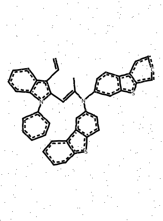 C=Cc1c(/C=C(\C)N(c2ccc3c(c2)sc2ccccc23)c2ccc3sc4ccccc4c3c2)n(-c2ccccc2)c2ccccc12